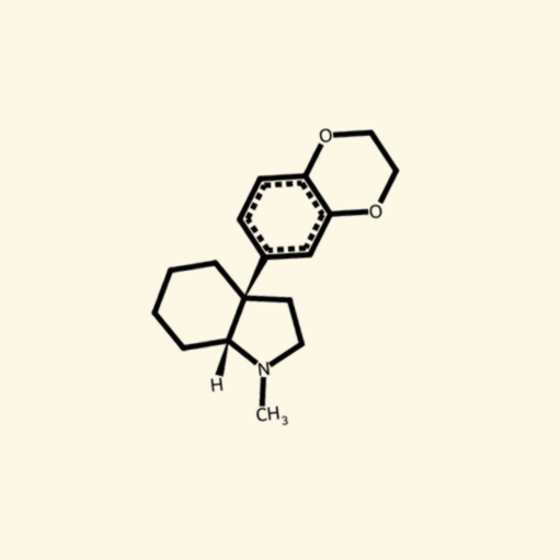 CN1CC[C@@]2(c3ccc4c(c3)OCCO4)CCCC[C@@H]12